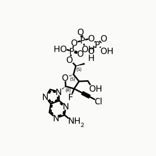 C[C@H](OP(=O)(O)OP(=O)(O)OP(=O)(O)O)[C@H]1O[C@@H](n2cnc3cnc(N)nc32)C(F)(C#CCl)C1CO